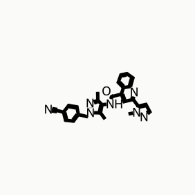 Cc1nn(Cc2ccc(C#N)cc2)c(C)c1NC(=O)c1cc(-c2ccnn2C)nc2ccccc12